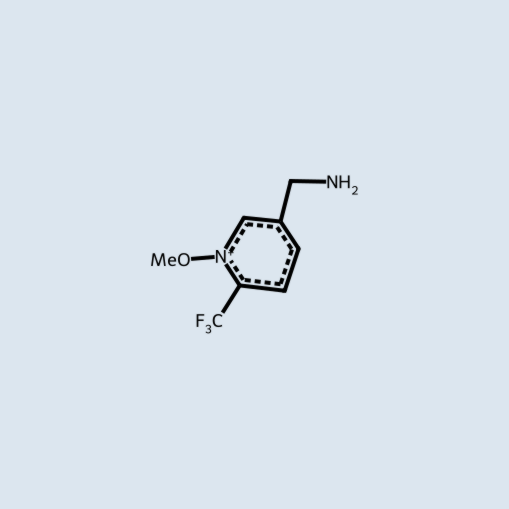 CO[n+]1cc(CN)ccc1C(F)(F)F